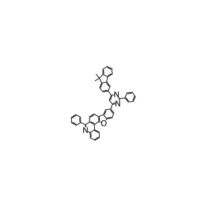 CC1(C)c2ccccc2-c2cc(-c3cc(-c4ccc5oc6c(ccc7c(-c8ccccc8)nc8ccccc8c76)c5c4)nc(-c4ccccc4)n3)ccc21